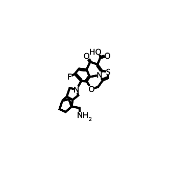 NCC12CCC(C1)C1CN(c3c(F)cc4c(=O)c(C(=O)O)c5scc6n5c4c3OC6)CC12